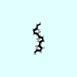 CCc1ccc(-c2ccc(-c3ccc(C)s3)s2)s1